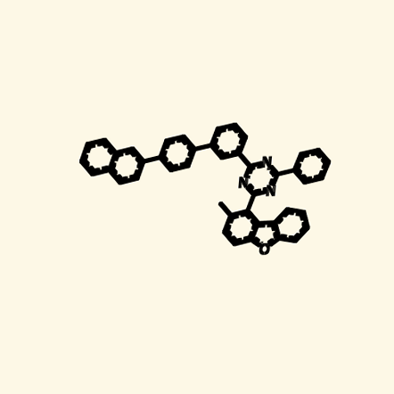 Cc1ccc2oc3ccccc3c2c1-c1nc(-c2ccccc2)nc(-c2cccc(-c3ccc(-c4ccc5ccccc5c4)cc3)c2)n1